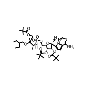 CCC(CC)COC(=O)[C@H](C)N[P@](=O)(OCOC(=O)C(C)(C)C)OC[C@H]1O[C@@](C#N)(c2ccc3c(N)ncnn23)[C@H](OC(=O)C(C)(C)C)[C@@H]1OC(=O)C(C)(C)C